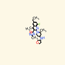 CCc1cc(F)c2nc(N3CC[C@@H](N[C@@H]4CCOC4)C[C@@H]3C)c(-c3nc(C)no3)c(C)c2c1